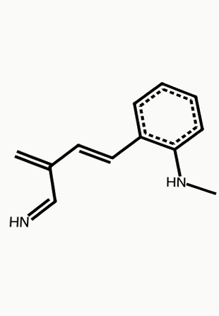 C=C(C=N)/C=C/c1ccccc1NC